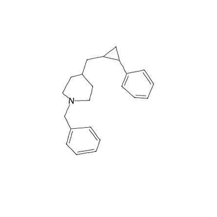 c1ccc(CN2CCC(CC3CC3c3ccccc3)CC2)cc1